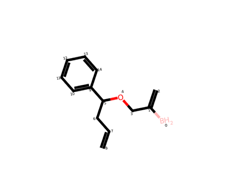 BC(=C)COC(CC=C)c1ccccc1